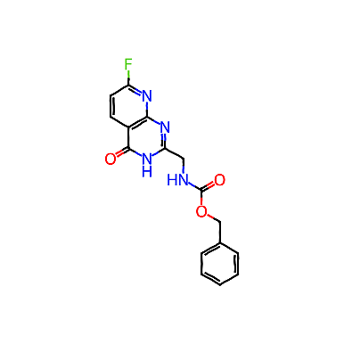 O=C(NCc1nc2nc(F)ccc2c(=O)[nH]1)OCc1ccccc1